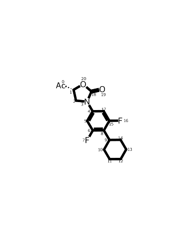 CC(=O)[C@H]1CN(c2cc(F)c(C3CCCCC3)c(F)c2)C(=O)O1